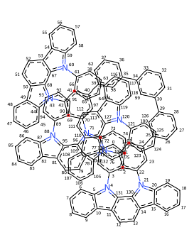 c1ccc(-n2c3ccccc3c3ccc4c5ccccc5n(-c5cc(-c6cccc(-c7cccc(-c8cccc(-c9cc(-n%10c%11ccccc%11c%11ccc%12c%13ccccc%13n(-c%13ccccc%13)c%12c%11%10)cc(-n%10c%11ccccc%11c%11ccc%12c%13ccccc%13n(-c%13ccccc%13)c%12c%11%10)c9)c8)c7)c6)cc(-n6c7ccccc7c7ccc8c9ccccc9n(-c9ccccc9)c8c76)c5)c4c32)cc1